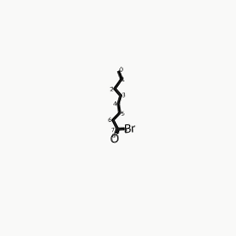 CCCCCCCC(=O)Br